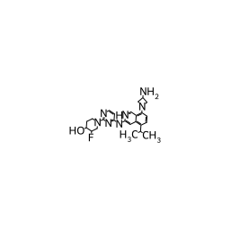 CC(C)c1ccc(N2CC(N)C2)c2cnc(Nc3ccnc(N4CCC(O)C(F)C4)n3)cc12